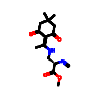 C=N[C@@H](CNC(C)=C1C(=O)CC(C)(C)CC1=O)C(=O)OC